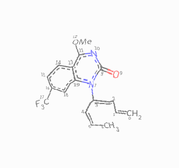 C=C/C=C(\C=C/C)n1c(=O)nc(OC)c2ccc(C(F)(F)F)cc21